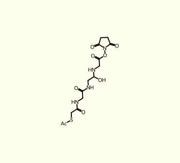 CC(=O)SCC(=O)NCC(=O)NCC(O)NCC(=O)ON1C(=O)CCC1=O